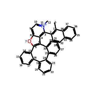 Cc1c(-c2c3c4c(oc3cc[n+]2C)-c2ccccc2-c2ccccc2-c2ccccc2-4)ccc2ccccc12